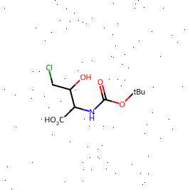 CC(C)(C)OC(=O)NC(C(=O)O)C(O)CCl